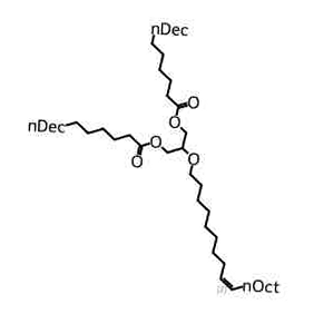 CCCCCCCC/C=C\CCCCCCCCOC(COC(=O)CCCCCCCCCCCCCCC)COC(=O)CCCCCCCCCCCCCCC